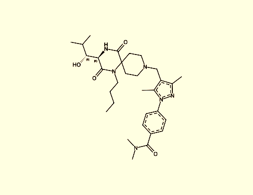 CCCCN1C(=O)[C@@H]([C@H](O)C(C)C)NC(=O)C12CCN(Cc1c(C)nn(-c3ccc(C(=O)N(C)C)cc3)c1C)CC2